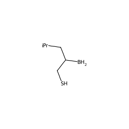 BC(CS)CC(C)C